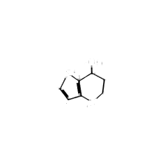 OC1CCSc2ccsc21